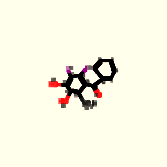 O=C(c1ccccc1)c1c(I)c(I)c(O)c(O)c1S(=O)(=O)O